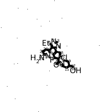 CCc1ncnc(-c2cc(F)c(C(=O)N3CCC(CO)CC3)c(Cl)c2)c1-c1ccc(N)nc1